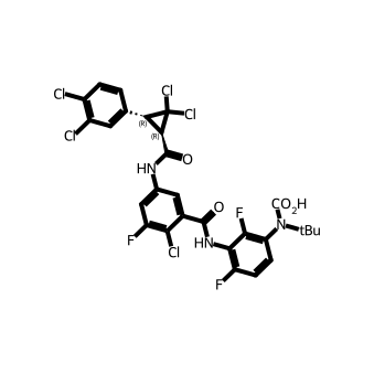 CC(C)(C)N(C(=O)O)c1ccc(F)c(NC(=O)c2cc(NC(=O)[C@H]3[C@H](c4ccc(Cl)c(Cl)c4)C3(Cl)Cl)cc(F)c2Cl)c1F